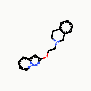 c1ccc2c(c1)CCN(CCOc1cc3ccccn3n1)C2